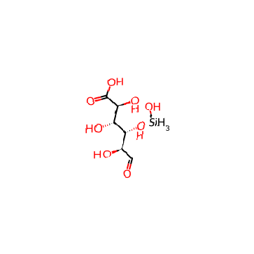 O=C[C@@H](O)[C@@H](O)[C@H](O)[C@H](O)C(=O)O.O[SiH3]